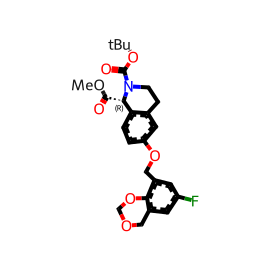 COC(=O)[C@H]1c2ccc(OCc3cc(F)cc4c3OCOC4)cc2CCN1C(=O)OC(C)(C)C